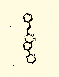 O=C(C=Cc1ccccc1)Oc1ccc(C2SCCCS2)cc1Cl